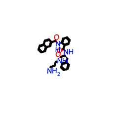 NCCCNC(=O)[C@H](Cc1ccccc1)NC(=O)c1ccccc1NC(=O)c1ccc2ccccc2c1